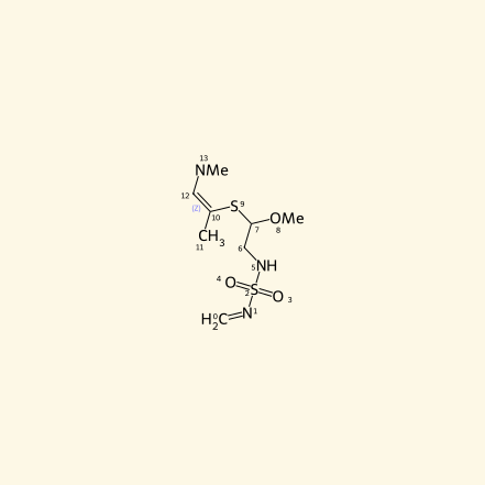 C=NS(=O)(=O)NCC(OC)S/C(C)=C\NC